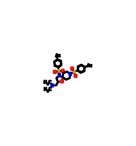 CC(=O)c1ccc(S(=O)(=O)N2CCC3(CC2)OC(CN(C)C)CN3S(=O)(=O)c2ccc(C(C)=O)cc2)cc1